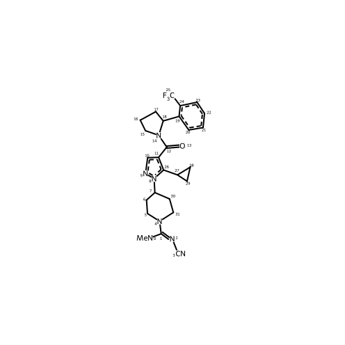 CNC(=NC#N)N1CCC(n2ncc(C(=O)N3CCCC3c3ccccc3C(F)(F)F)c2C2CC2)CC1